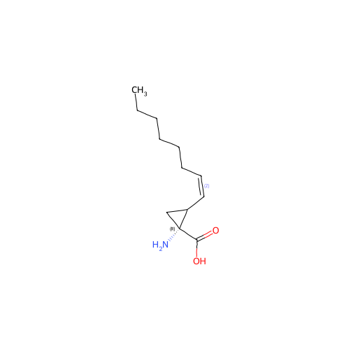 CCCCCC/C=C\C1C[C@]1(N)C(=O)O